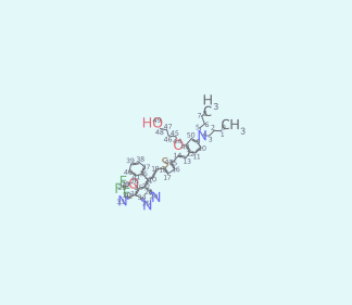 CCCCN(CCCC)c1ccc(/C=C/c2ccc(/C=C/C(=C(\C#N)C(OC(F)(F)F)=C(C#N)C#N)c3ccccc3)s2)c(OCCCCO)c1